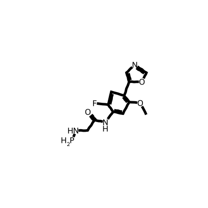 COc1cc(NC(=O)CNP)c(F)cc1-c1cnco1